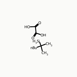 CCCCC(C)(C)[SiH3].O=C(O)C(=O)O